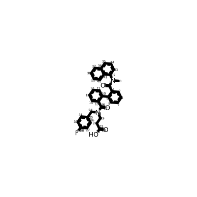 CN(C(=O)c1ccccc1-c1ccccc1C(=O)N(CCC(=O)O)Cc1ccc(F)cc1)c1cccc2ccccc12